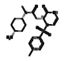 Cc1ccc(S(=O)(=O)N2C=CNC(=O)[C@H]2CC(=O)N(C)[C@H]2CC[C@@H](N)CC2)cc1